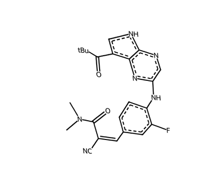 CN(C)C(=O)C(C#N)=Cc1ccc(Nc2cnc3[nH]cc(C(=O)C(C)(C)C)c3n2)c(F)c1